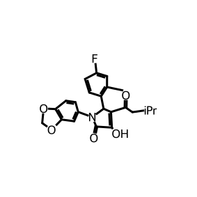 Cc1cc(F)ccc1C1C(C(=O)CC(C)C)=C(O)C(=O)N1c1ccc2c(c1)OCO2